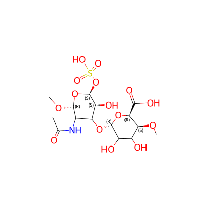 CO[C@@H]1O[C@@H](OS(=O)(=O)O)[C@@H](O)C(O[C@@H]2O[C@@H](C(=O)O)[C@@H](OC)C(O)C2O)C1NC(C)=O